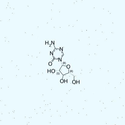 Nc1ncn([C@@H]2O[C@H](CO)C(O)[C@@H]2O)c(=O)n1